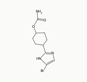 NC(=O)OC1CCC(c2ncc(Br)[nH]2)CC1